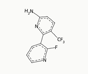 Nc1ccc(C(F)(F)F)c(-c2cccnc2F)n1